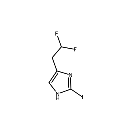 FC(F)Cc1c[nH]c(I)n1